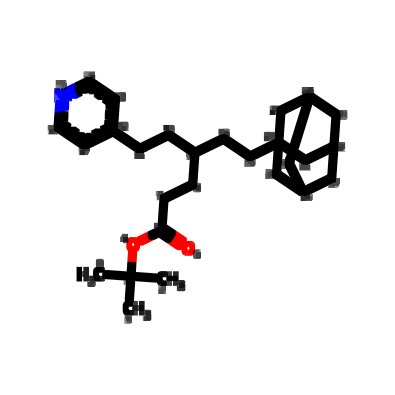 CC(C)(C)OC(=O)CCC(C[CH]c1ccncc1)CCC12CC3CC(CC(C3)C1)C2